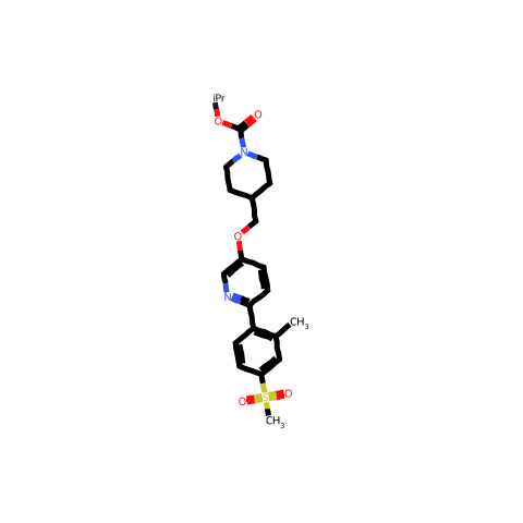 Cc1cc(S(C)(=O)=O)ccc1-c1ccc(OCC2CCN(C(=O)OC(C)C)CC2)cn1